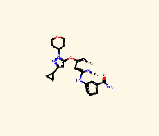 C=N/C(=C\C(=C/C)Oc1cc(C2CC2)nn1C1CCOCC1)Nc1cccc(C(N)=O)c1